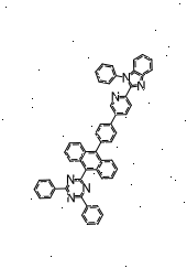 c1ccc(-c2nc(-c3ccccc3)nc(-c3c4ccccc4c(-c4ccc(-c5ccc(-c6nc7ccccc7n6-c6ccccc6)nc5)cc4)c4ccccc34)n2)cc1